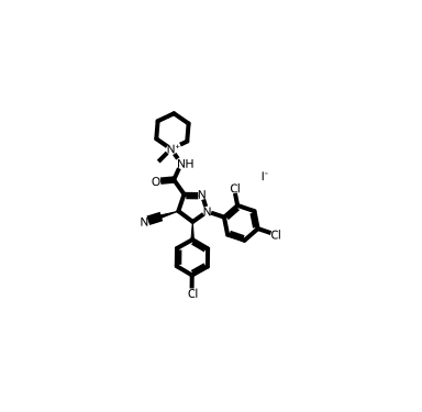 C[N+]1(NC(=O)C2=NN(c3ccc(Cl)cc3Cl)[C@@H](c3ccc(Cl)cc3)[C@H]2C#N)CCCCC1.[I-]